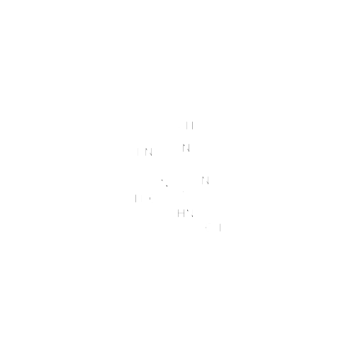 C/N=C(\N)N(C)C(=N)NC